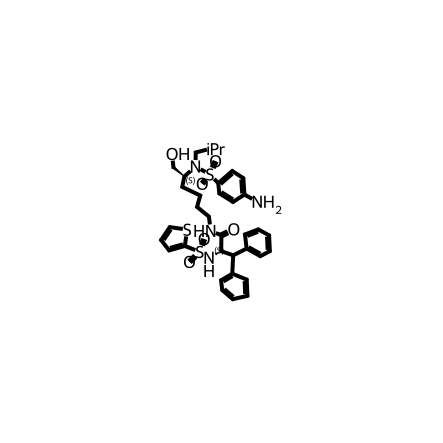 CC(C)CN([C@H](CO)CCCCNC(=O)[C@@H](NS(=O)(=O)c1cccs1)C(c1ccccc1)c1ccccc1)S(=O)(=O)c1ccc(N)cc1